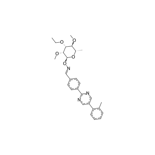 CCO[C@@H]1[C@@H](OC)[C@H](C)O[C@@H](O/N=C/c2ccc(-c3ncc(-c4ccccc4C)cn3)cc2)[C@@H]1OC